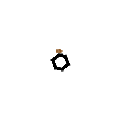 Br.[CH]1CCCCC1